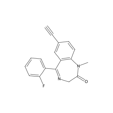 C#Cc1ccc2c(c1)C(c1ccccc1F)=NCC(=O)N2C